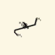 CCCCC/C=C\C/C=C\CCCCCCCCCCCC(=O)O[C@H](COC(=O)CCCCCCCCC/C=C\CCCCCCCC)COP(=O)(O)OCCN